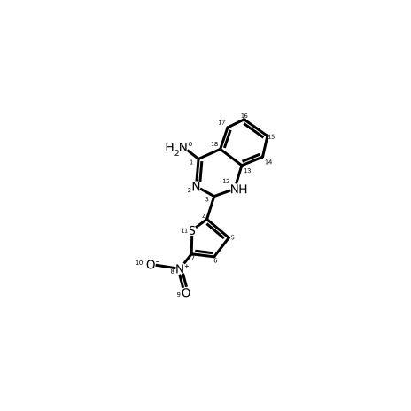 NC1=NC(c2ccc([N+](=O)[O-])s2)Nc2ccccc21